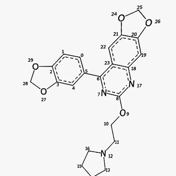 c1cc2c(cc1-c1nc(OCCN3CCCC3)nc3cc4c(cc13)OCO4)OCO2